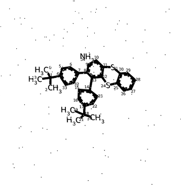 CC(C)(C)c1ccc(-c2ccc3c(c2-c2ccc(C(C)(C)C)cc2)Sc2ccccc2S3)cc1.N